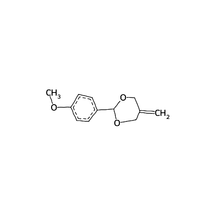 C=C1COC(c2ccc(OC)cc2)OC1